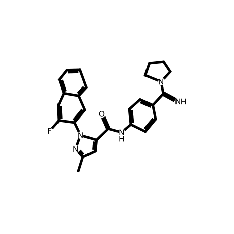 Cc1cc(C(=O)Nc2ccc(C(=N)N3CCCC3)cc2)n(-c2cc3ccccc3cc2F)n1